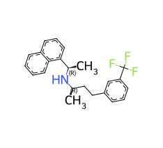 C[C@H](CCc1cccc(C(F)(F)F)c1)N[C@H](C)c1cccc2ccccc12